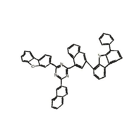 c1ccc(-c2cccc3c2sc2c(-c4cc(-c5nc(-c6ccc7ccccc7c6)nc(-c6ccc7c(c6)oc6ccccc67)n5)c5ccccc5c4)cccc23)cc1